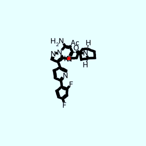 CC(=O)c1c([C@@H]2C[C@H]3CC[C@@H](C2)N3C(=O)CO)nc2c(-c3ccc(-c4ccc(F)cc4F)nc3)cnn2c1N